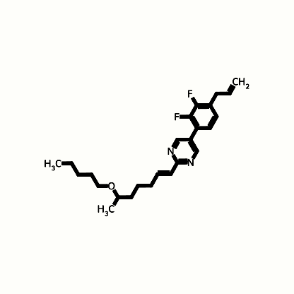 C=CCc1ccc(-c2cnc(C=CCCCC(C)OCCCCC)nc2)c(F)c1F